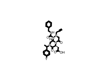 C#CCN1CC(=O)N2[C@@H](CC(=O)O)C(=O)N(C(C)c3ccc(F)cc3)C[C@@H]2N1C(=O)NCc1ccccc1